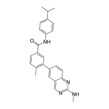 CNc1ncc2cc(-c3cc(C(=O)Nc4ccc(C(C)C)cc4)ccc3C)ccc2n1